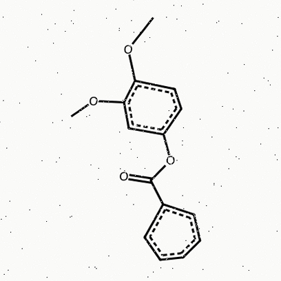 COc1ccc(OC(=O)c2ccccc2)cc1OC